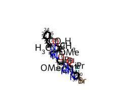 CC[C@H](C)[C@@H]([C@@H](CC(=O)N1CCC[C@H]1[C@H](OC)[C@@H](C)C(=O)N[C@@](C)(Cc1ccccc1)C(=O)O)OC)N(C)C(=O)[C@@H](Nc1ncc(Br)cc1F)C(C)C